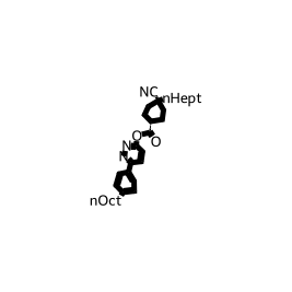 CCCCCCCCc1ccc(-c2ccc(OC(=O)[C@H]3CC[C@@](C#N)(CCCCCCC)CC3)nn2)cc1